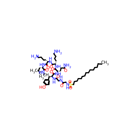 CCCCCCCCCCCCCCCCS(=O)(=O)NCC(=O)NCC(=O)N[C@@H](Cc1ccc(O)cc1)C(=O)N[C@@H](CCC(N)=O)C(=O)N[C@@H](CCCCN)C(=O)N[C@@H](CCCCN)C(=O)N[C@@H](CC(C)C)C(=O)NC